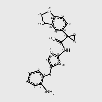 Nc1ccccc1Cc1cnc(NC(=O)C2(c3ccc4c(c3)OCO4)CC2)s1